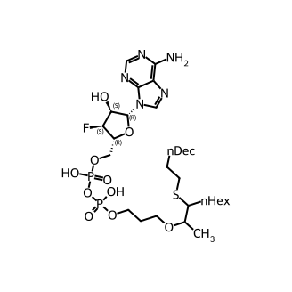 CCCCCCCCCCCCSC(CCCCCC)C(C)OCCCOP(=O)(O)OP(=O)(O)OC[C@H]1O[C@@H](n2cnc3c(N)ncnc32)[C@H](O)[C@@H]1F